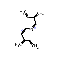 C=CC(=C)/C=C\N=C/C(=C)C=C